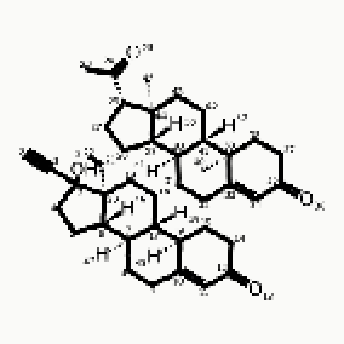 C#CC1(O)CC[C@H]2[C@@H]3CCC4=CC(=O)CC[C@@H]4[C@H]3CC[C@@]21CC.CC(=O)[C@H]1CC[C@H]2[C@@H]3CCC4=CC(=O)CC[C@]4(C)[C@H]3CC[C@]12C